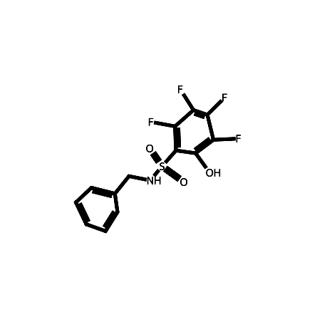 O=S(=O)(NCc1ccccc1)c1c(O)c(F)c(F)c(F)c1F